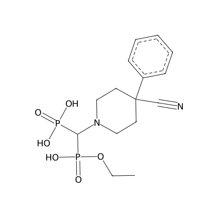 CCOP(=O)(O)C(N1CCC(C#N)(c2ccccc2)CC1)P(=O)(O)O